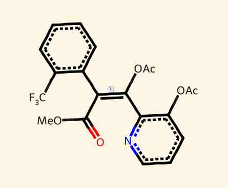 COC(=O)/C(=C(/OC(C)=O)c1ncccc1OC(C)=O)c1ccccc1C(F)(F)F